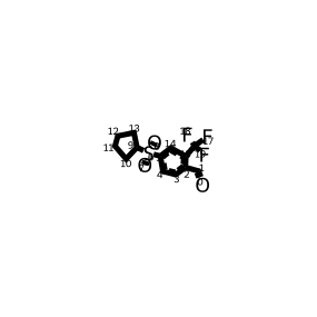 O=Cc1ccc(S(=O)(=O)C2CCCC2)cc1C(F)(F)F